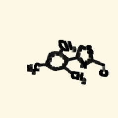 Cc1cc(C)c(-c2csc(C[O])n2)c(C)c1